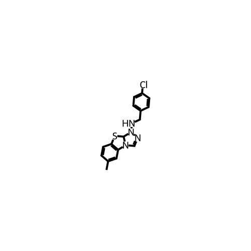 Cc1ccc2c(c1)N1C=NN(NCc3ccc(Cl)cc3)C1S2